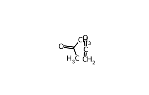 C=C=O.CC(C)=O